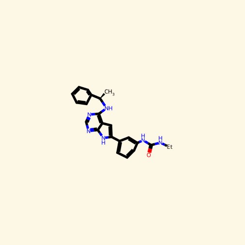 CCNC(=O)Nc1cccc(-c2cc3c(N[C@H](C)c4ccccc4)ncnc3[nH]2)c1